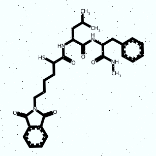 CNC(=O)C(Cc1ccccc1)NC(=O)C(CC(C)C)NC(=O)C(S)CCCCN1C(=O)c2ccccc2C1=O